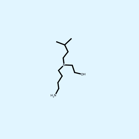 CC(C)CCN(CCO)CCCCN